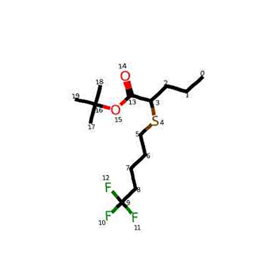 CCCC(SCCCCC(F)(F)F)C(=O)OC(C)(C)C